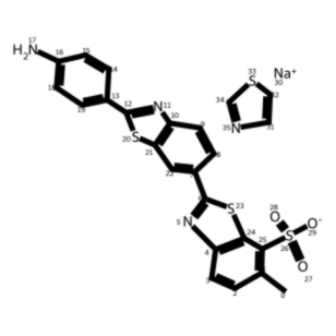 Cc1ccc2nc(-c3ccc4nc(-c5ccc(N)cc5)sc4c3)sc2c1S(=O)(=O)[O-].[Na+].c1cscn1